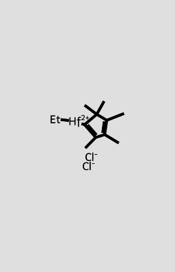 C[CH2][Hf+2][C]1=C(C)C(C)=C(C)C1(C)C.[Cl-].[Cl-]